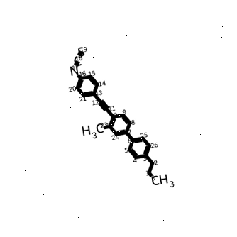 CCCc1ccc(-c2ccc(C#Cc3ccc(N=C=S)cc3)c(C)c2)cc1